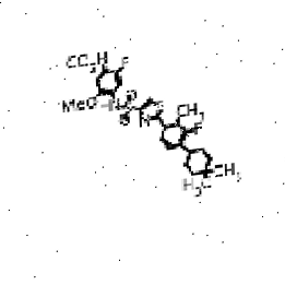 COc1cc(C(=O)O)c(F)cc1NS(=O)(=O)c1csc(-c2ccc(C3CCC(C)(C)CC3)c(F)c2C)n1